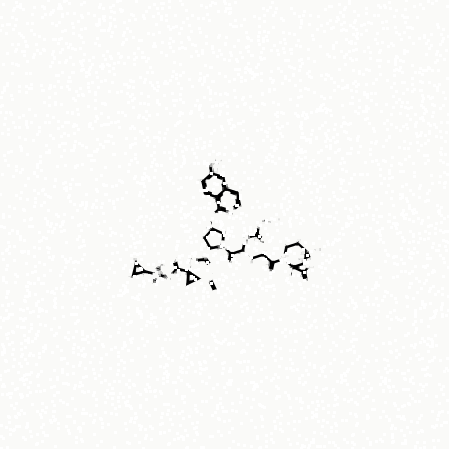 C=C[C@@H]1C[C@]1(NC(=O)[C@@H]1C[C@@H](Oc2nccc3cc(OC)ccc23)CN1C(=O)[C@H](CCC(=O)N1CC[C@@H]2C[C@@H]1C(=O)O2)NC(=O)OC(C)(C)C)C(=O)NS(=O)(=O)C1CC1